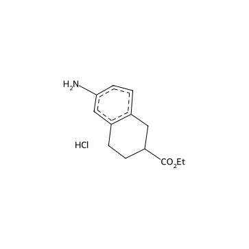 CCOC(=O)C1CCc2cc(N)ccc2C1.Cl